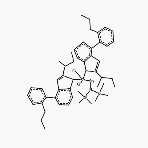 CCCc1ccccc1-c1cccc2c1C=C(C(C)CC)[CH]2[Zr]([Cl])([Cl])([BH]N([Si](C)(C)C)[Si](C)(C)C)[CH]1C(C(C)CC)=Cc2c(-c3ccccc3CCC)cccc21